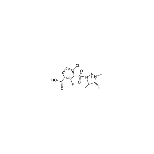 CC1C(=O)N(C)NN1S(=O)(=O)c1c(Cl)ccc(C(=O)O)c1F